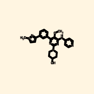 COc1c(Nc2ccncc2)nc(N2CCC(O)CC2)nc1-c1cccc(-c2ccn(C)n2)c1